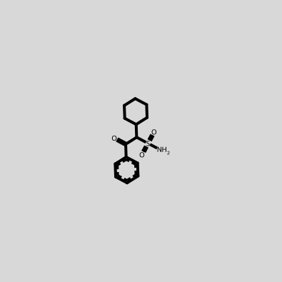 NS(=O)(=O)C(C(=O)c1ccccc1)C1CCCCC1